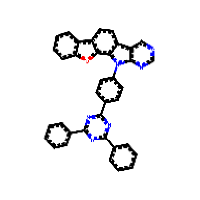 c1ccc(-c2nc(-c3ccccc3)nc(-c3ccc(-n4c5ncncc5c5ccc6c7ccccc7oc6c54)cc3)n2)cc1